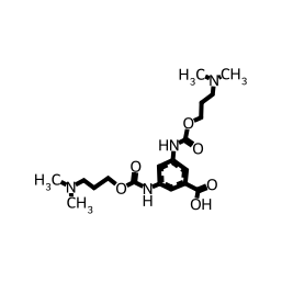 CN(C)CCCOC(=O)Nc1cc(NC(=O)OCCCN(C)C)cc(C(=O)O)c1